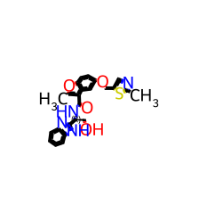 Cc1ncc(COc2ccc3oc(C)c(C(=O)N[C@@H](CO)c4nc5ccccc5[nH]4)c3c2)s1